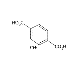 O=C(O)c1ccc(C(=O)O)cc1.[CH]